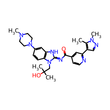 Cc1c(-c2cc(C(=O)/N=c3\[nH]c4cc(N5CCN(C)CC5)ccc4n3CC(C)(C)O)ccn2)cnn1C